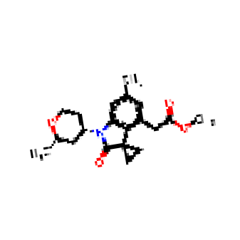 COC(=O)Cc1cc(C)cc2c1C1(CC1)C(=O)N2[C@H]1CCO[C@@H](C)C1